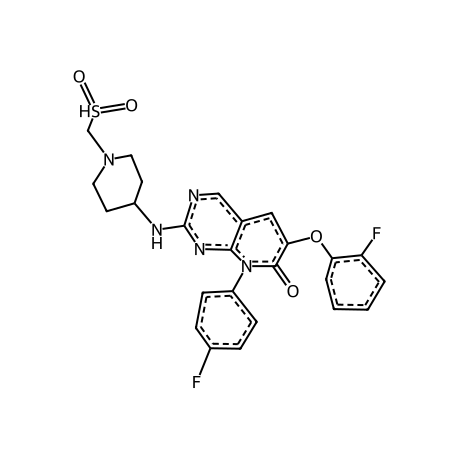 O=c1c(Oc2ccccc2F)cc2cnc(NC3CCN(C[SH](=O)=O)CC3)nc2n1-c1ccc(F)cc1